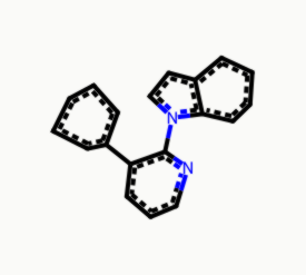 c1ccc(-c2cccnc2-n2ccc3ccccc32)cc1